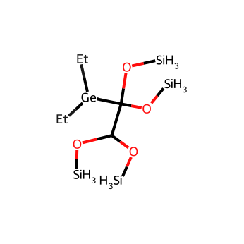 C[CH2][Ge]([CH2]C)[C](O[SiH3])(O[SiH3])C(O[SiH3])O[SiH3]